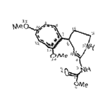 COC(=O)NC1=NC(c2ccc(OC)cc2OC)CCN1